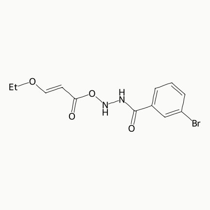 CCOC=CC(=O)ONNC(=O)c1cccc(Br)c1